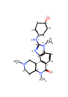 CN1CCC(N(C)C(=O)c2ccc3c(c2)nc(NC2CCC(O)CC2)n3C)CC1